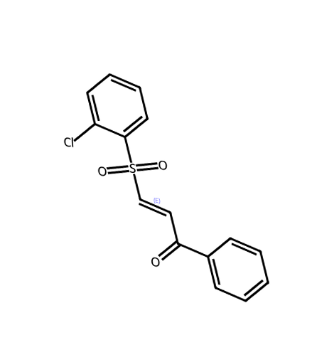 O=C(/C=C/S(=O)(=O)c1ccccc1Cl)c1ccccc1